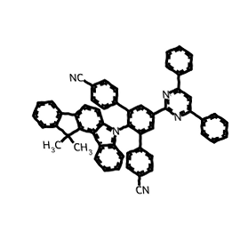 CC1(C)c2ccccc2-c2ccc3c(c21)c1ccccc1n3-c1c(-c2ccc(C#N)cc2)cc(-c2nc(-c3ccccc3)cc(-c3ccccc3)n2)cc1-c1ccc(C#N)cc1